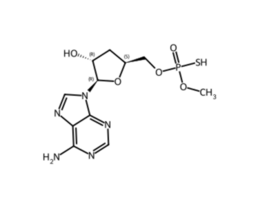 COP(=O)(S)OC[C@@H]1C[C@@H](O)[C@H](n2cnc3c(N)ncnc32)O1